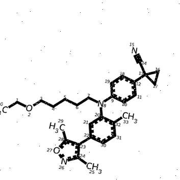 CCOCCCCCN(c1ccc(C2(C#N)CC2)cc1)c1cc(-c2c(C)noc2C)ccc1C